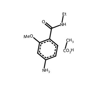 CC(=O)O.CCNC(=O)c1ccc(N)cc1OC